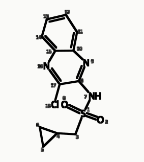 O=S(=O)(CC1CC1)Nc1nc2ccccc2nc1Cl